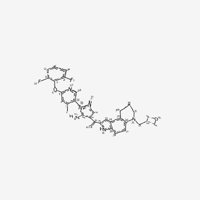 Cc1cc(Oc2c(F)cccc2F)ncc1-n1ncc(C(=O)c2cc3c4c(ccc3[nH]2)N(CC2COC2)CCC4)c1N